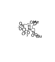 COCCCCN1C(=O)C(C)(C)Oc2cc(C(F)(F)F)c(C(=O)NC3CN(C(=O)OC(C)(C)C)CCC3Cc3ccccc3)cc21